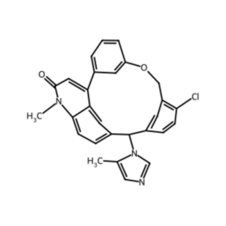 Cc1cncn1C1c2ccc(Cl)c(c2)COc2cccc(c2)-c2cc(=O)n(C)c3ccc1cc23